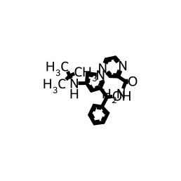 CC(C)(C)Nc1cncc(C(O)c2ccccc2)c1.NC(=O)c1cnccn1